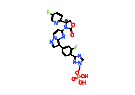 O=C1OC[C@H](c2ccc(F)cn2)N1c1ccn2ncc(-c3ccc(-c4ncn(COP(=O)(O)O)n4)c(F)c3)c2n1